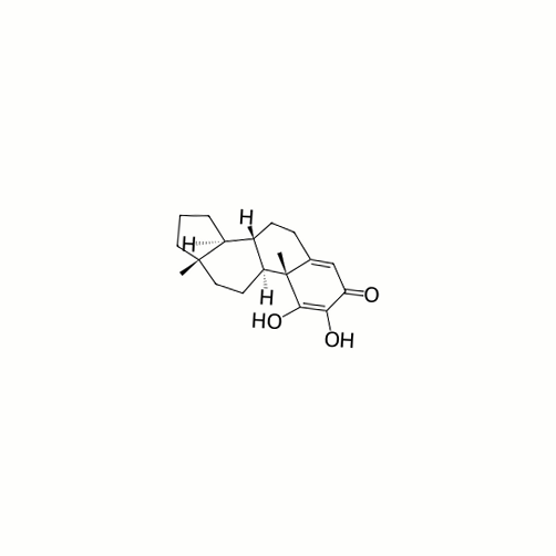 C[C@@]12CCC[C@H]1[C@@H]1CCC3=CC(=O)C(O)=C(O)[C@]3(C)[C@H]1CC2